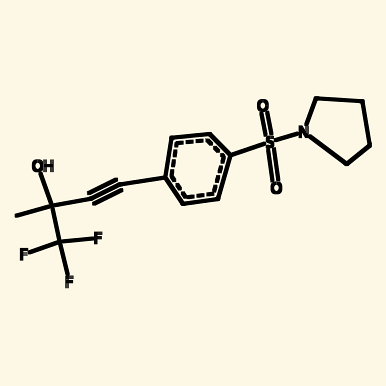 CC(O)(C#Cc1ccc(S(=O)(=O)N2CCCC2)cc1)C(F)(F)F